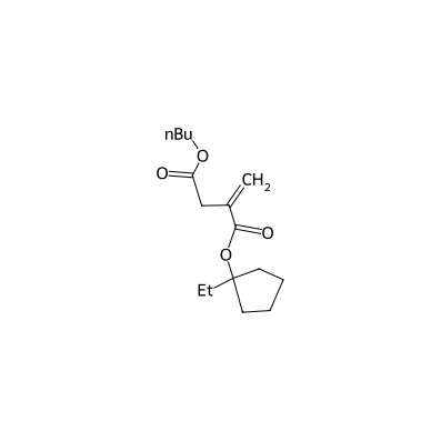 C=C(CC(=O)OCCCC)C(=O)OC1(CC)CCCC1